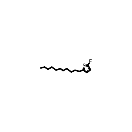 CCCCCCCCCCCc1ccc(F)s1